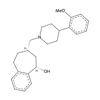 COc1ccccc1C1CCN(C[C@H]2CCc3ccccc3[C@@H](O)C2)CC1